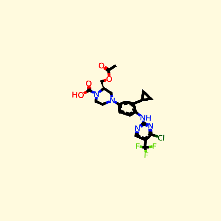 CC(=O)OC[C@H]1CN(c2ccc(Nc3ncc(C(F)(F)F)c(Cl)n3)c(C3CC3)c2)CCN1C(=O)O